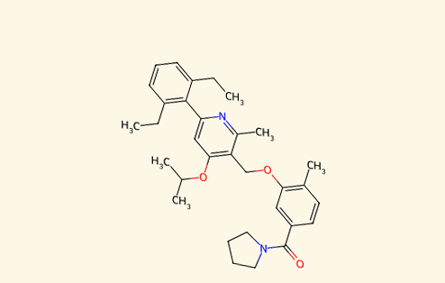 CCc1cccc(CC)c1-c1cc(OC(C)C)c(COc2cc(C(=O)N3CCCC3)ccc2C)c(C)n1